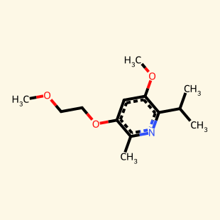 COCCOc1cc(OC)c(C(C)C)nc1C